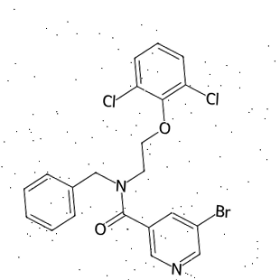 O=C(c1cncc(Br)c1)N(CCOc1c(Cl)cccc1Cl)Cc1ccccc1